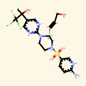 CC(O)(c1cnc(N2CCN(S(=O)(=O)c3ccc(N)nc3)C[C@H]2C#CCO)nc1)C(F)(F)F